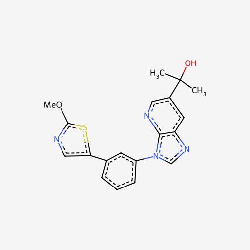 COc1ncc(-c2cccc(-n3cnc4cc(C(C)(C)O)cnc43)c2)s1